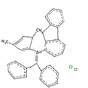 CC1=CC(C)[C]([Zr+2](=[C](c2ccccc2)c2ccccc2)[c]2cccc3c2Cc2ccccc2-3)=C1.[Cl-].[Cl-]